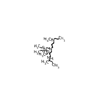 CCCN(C)CCCN(CCCNC(C)CC)C[Si](OCC)(OCC)OCC